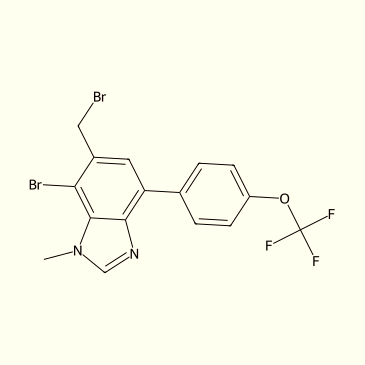 Cn1cnc2c(-c3ccc(OC(F)(F)F)cc3)cc(CBr)c(Br)c21